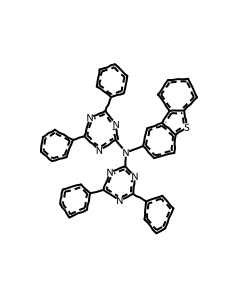 c1ccc(-c2nc(-c3ccccc3)nc(N(c3ccc4sc5ccccc5c4c3)c3nc(-c4ccccc4)nc(-c4ccccc4)n3)n2)cc1